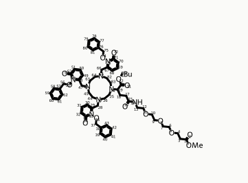 COC(=O)CCOCCOCCOCCNC(=O)CCC(C(=O)OC(C)(C)C)N1CCN(Cc2cccc(=O)n2OCc2ccccc2)CCN(Cc2cccc(=O)n2OCc2ccccc2)CCN(Cc2cccc(=O)n2OCc2ccccc2)CC1